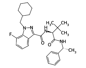 C[C@@H](NC(=O)[C@@H](NC(=O)c1nn(CC2CCCCC2)c2c(F)cccc12)C(C)(C)C)c1ccccc1